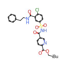 CCC(C)COC(=O)c1ccc(C(=O)NS(=O)(=O)c2ccc(Cl)c(C(=O)NCCc3ccccc3)c2)cn1